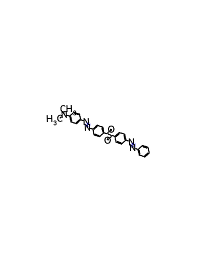 CN(C)c1ccc(/N=N/c2ccc(S(=O)(=O)c3ccc(/N=N/c4ccccc4)cc3)cc2)cc1